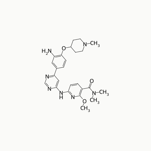 COc1nc(Nc2cc(-c3ccc(OC4CCN(C)CC4)c(N)c3)ncn2)ccc1C(=O)N(C)C